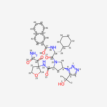 CC(C)(O)c1cnnn1[C@H]1C[C@@H](C(=O)NC2(C(=O)C(N)=O)CCOC2)N(C(=O)[C@@H](CC2CCCCC2)NC(=O)c2ccc3ccccc3c2)C1